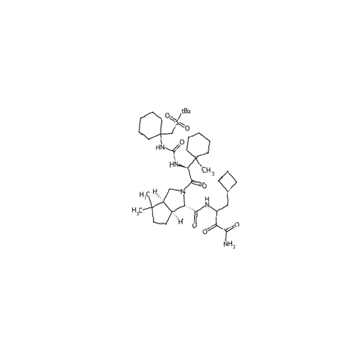 CC1(C)CC[C@@H]2[C@@H](C(=O)NC(CC3CCC3)C(=O)C(N)=O)N(C(=O)[C@@H](NC(=O)NC3(CS(=O)(=O)C(C)(C)C)CCCCC3)C3(C)CCCCC3)C[C@@H]21